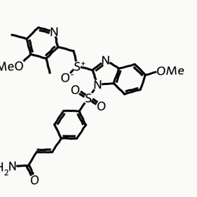 COc1ccc2c(c1)nc([S+]([O-])Cc1ncc(C)c(OC)c1C)n2S(=O)(=O)c1ccc(C=CC(N)=O)cc1